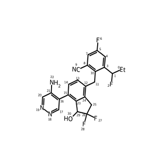 CCC(F)c1cc(F)cc(C#N)c1Cc1ccc(-c2cnncc2N)c2c1CC(F)(F)C2O